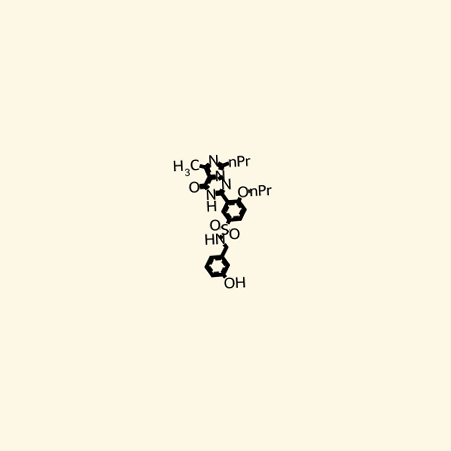 CCCOc1ccc(S(=O)(=O)NCc2cccc(O)c2)cc1-c1nn2c(CCC)nc(C)c2c(=O)[nH]1